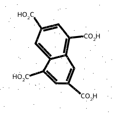 O=C(O)c1cc(C(=O)O)c2cc(C(=O)O)cc(C(=O)O)c2c1